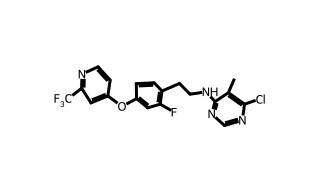 Cc1c(Cl)ncnc1NCCc1ccc(Oc2ccnc(C(F)(F)F)c2)cc1F